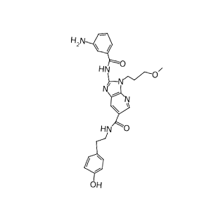 COCCCn1c(NC(=O)c2cccc(N)c2)nc2cc(C(=O)NCCc3ccc(O)cc3)cnc21